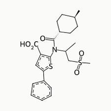 CC(CS(C)(=O)=O)N(c1sc(-c2ccccc2)cc1C(=O)O)C(=O)[C@H]1CC[C@H](C)CC1